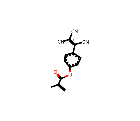 [C-]#[N+]/C(C#N)=C(/C#N)c1ccc(OC(=O)C(=C)C)cc1